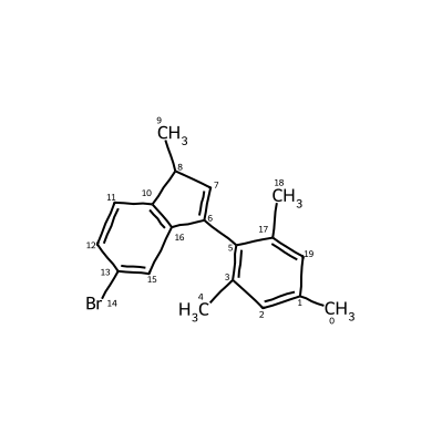 Cc1cc(C)c(C2=CC(C)c3ccc(Br)cc32)c(C)c1